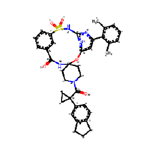 Cc1cccc(C)c1-c1cc2nc(n1)NS(=O)(=O)c1cccc(c1)C(=O)NC1(CCN(C(=O)C3(c4ccc5c(c4)CCC5)CC3)CC1)O2